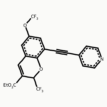 CCOC(=O)C1=Cc2cc(OC(F)(F)F)cc(C#Cc3ccncc3)c2OC1C(F)(F)F